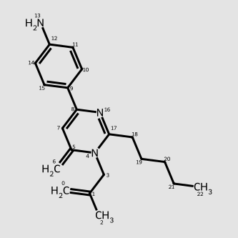 C=C(C)CN1C(=C)C=C(c2ccc(N)cc2)N=C1CCCCC